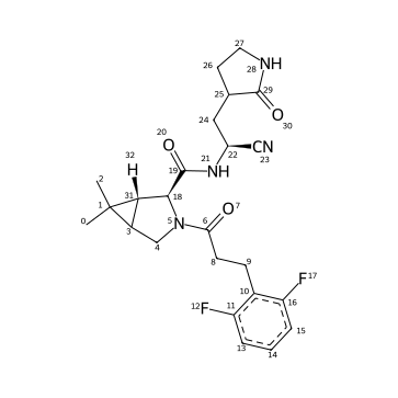 CC1(C)C2CN(C(=O)CCc3c(F)cccc3F)[C@H](C(=O)N[C@H](C#N)CC3CCNC3=O)[C@H]21